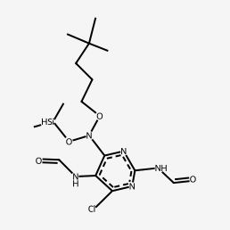 C[SiH](C)ON(OCCCC(C)(C)C)c1nc(NC=O)nc(Cl)c1NC=O